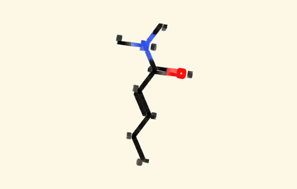 [CH2]CC=CC(=O)N(C)C